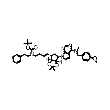 COc1ccc(CN(C)c2ncnc3c2ccn3[C@@H]2C[C@H](/C=C/CCN(CCc3ccccc3)C(=O)OC(C)(C)C)[C@H]3OC(C)(C)O[C@H]32)cc1